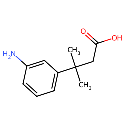 CC(C)(CC(=O)O)c1cccc(N)c1